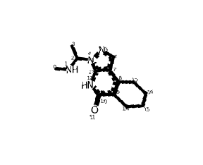 CNC(C)n1ncc2c3c(c(=O)[nH]c21)CCCC3